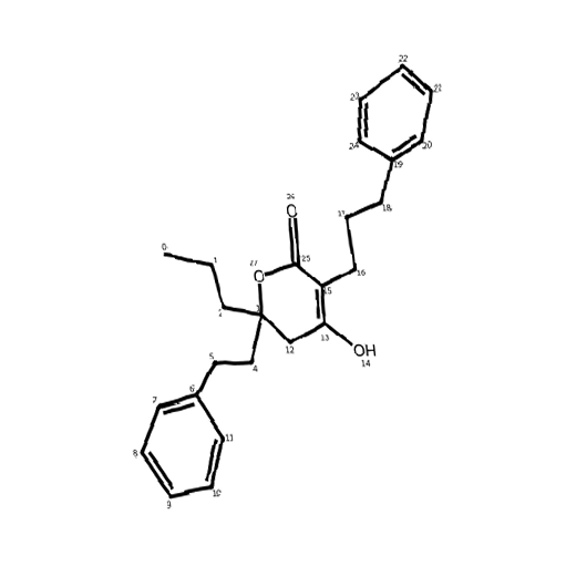 CCCC1(CCc2ccccc2)CC(O)=C(CCCc2ccccc2)C(=O)O1